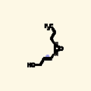 OC/C=C/[C@H]1O[C@@H]1CCC(F)(F)F